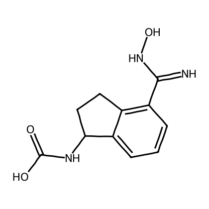 N=C(NO)c1cccc2c1CCC2NC(=O)O